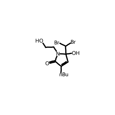 CCCCC1=CC(O)(C(Br)Br)N(CCO)C1=O